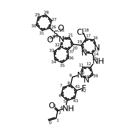 C=CC(=O)Nc1ccc(Cn2cc(Nc3ncc(Cl)c(-c4cn(S(=O)(=O)c5ccccc5)c5ccccc45)n3)cn2)c(F)c1